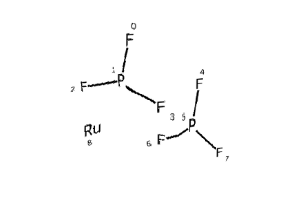 FP(F)F.FP(F)F.[Ru]